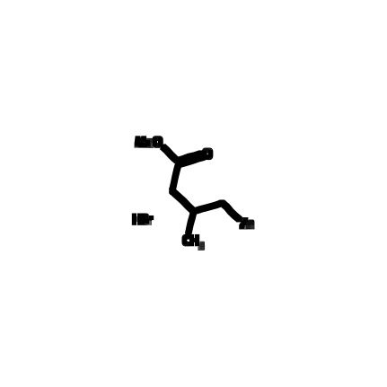 Br.COC(=O)CC(C)[CH2][Zn]